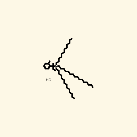 CCCCCCCCCCCCCCCC[N+](CCCCCCCCCCCC)(CCCCCCCCCCCCCC)C(C)(CC)c1ccccc1C.[OH-]